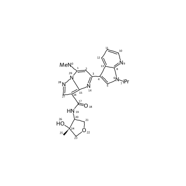 CNc1cc(-c2cn(C(C)C)c3ncccc23)nc2c(C(=O)NC3COC[C@]3(C)O)cnn12